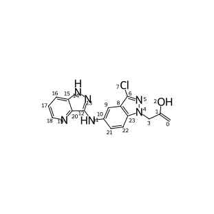 C=C(O)Cn1nc(Cl)c2cc(Nc3n[nH]c4cccnc34)ccc21